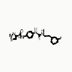 O=C(Nc1ccc(NC(=S)NCCc2cccc(F)c2)cc1)c1csnn1